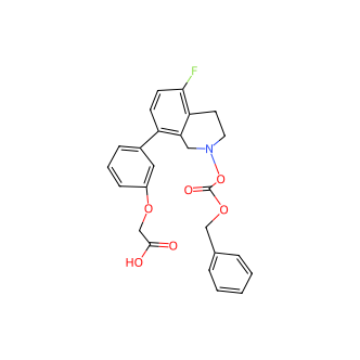 O=C(O)COc1cccc(-c2ccc(F)c3c2CN(OC(=O)OCc2ccccc2)CC3)c1